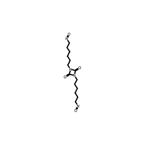 O=NCCCCCCN1C(=O)N(CCCCCCN=O)C1=O